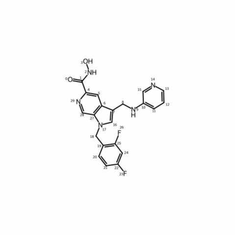 O=C(NO)c1cc2c(CNc3cccnc3)cn(Cc3ccc(F)cc3F)c2cn1